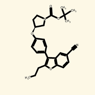 CCCc1oc2ccc(C#N)cc2c1-c1ccc(O[C@H]2CCN(C(=O)OC(C)(C)C)C2)cc1